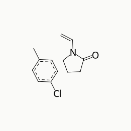 C=CN1CCCC1=O.Cc1ccc(Cl)cc1